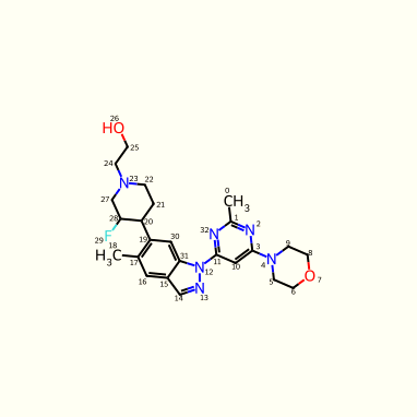 Cc1nc(N2CCOCC2)cc(-n2ncc3cc(C)c(C4CCN(CCO)CC4F)cc32)n1